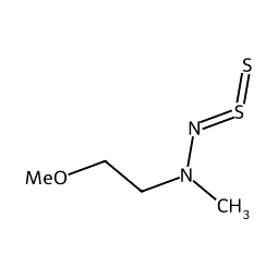 COCCN(C)N=S=S